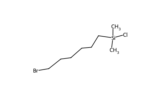 C[Si](C)(Cl)CCCCCCBr